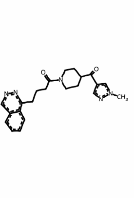 Cn1cc(C(=O)C2CCN(C(=O)CCCc3nncc4ccccc34)CC2)cn1